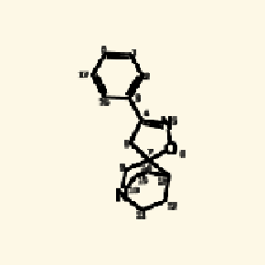 c1ccc(C2=NOC3(C2)CN2CCC3CC2)cc1